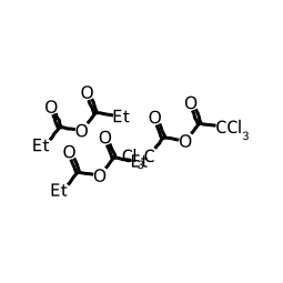 CCC(=O)OC(=O)CC.CCC(=O)OC(=O)CC.O=C(OC(=O)C(Cl)(Cl)Cl)C(Cl)(Cl)Cl